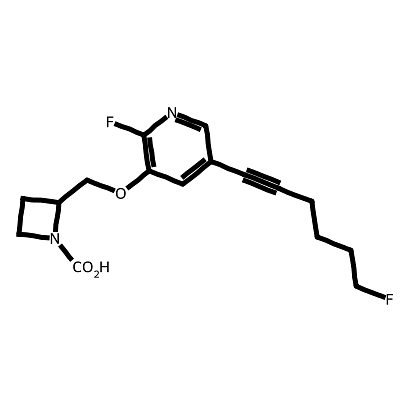 O=C(O)N1CCC1COc1cc(C#CCCCCF)cnc1F